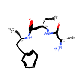 CCCC[C@H](N)C(=O)N[C@@H](CC(C)C)C(=O)N[C@@H](Cc1ccccc1)C(=O)O